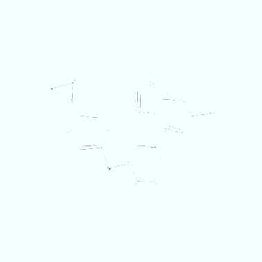 Cc1cc(C2CN(C(=O)c3ccc(C4CC4)cc3)CCO2)n2ncnc2n1